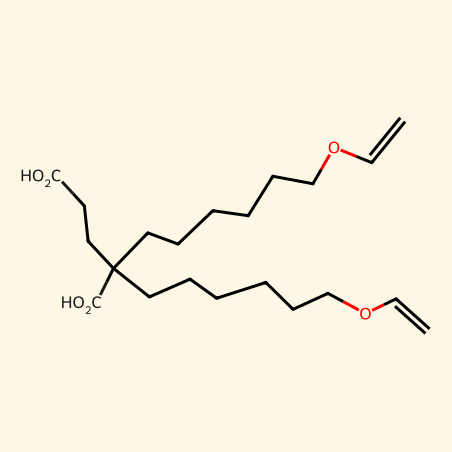 C=COCCCCCCC(CCCCCCOC=C)(CCC(=O)O)C(=O)O